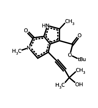 Cc1[nH]c2c(=O)n(C)cc(C#CC(C)(C)O)c2c1C(=O)OC(C)(C)C